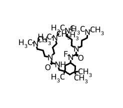 CN(C)CCCN(CCCN(C)C)C(=O)NCC1(C)CC(N(F)C(=O)N(CCCN(C)C)CCCN(C)C)CC(C)(C)C1